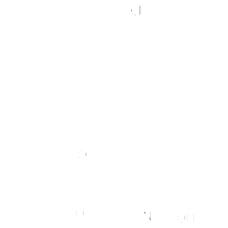 CCOC(=O)/C(CCCCCCl)=N/O